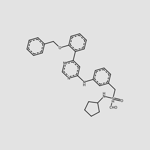 O=C[SH](=O)(Cc1cccc(Nc2cc(-c3ccccc3OCc3ccccc3)ncn2)c1)NC1CCCC1